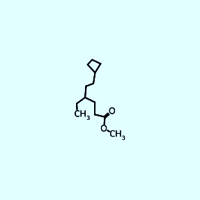 CCC(CCC(=O)OC)CCC1CCC1